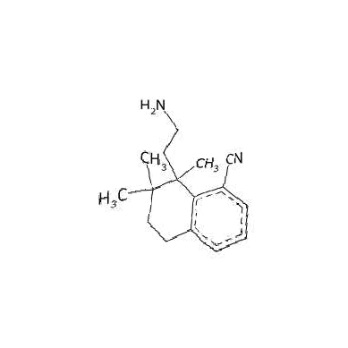 CC1(C)CCc2cccc(C#N)c2C1(C)CCN